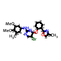 COc1cc(Nc2ncc(Br)c(Oc3ccccc3-c3nc(C)co3)n2)cc(C)c1OC